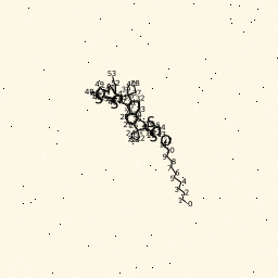 CCCCCCCCCCCCOc1cc2sc3c(c2s1)C(CC)(CC)c1ccc2c4c(ccc2c1-3)C(CC)(CC)c1c-4sc2c3sc(C)cc3n(CC)c12